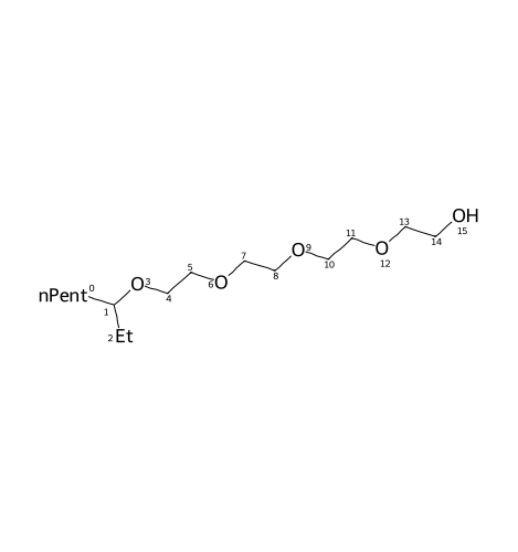 CCCCCC(CC)OCCOCCOCCOCCO